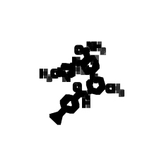 C[C@@H]1C[C@@H](NC(=O)c2ccc(C3CC3)cc2)CN(c2cnc(C(N)=O)c(Nc3cnn(C)c3)n2)C1